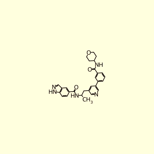 CC(Cc1cncc(-c2cccc(C(=O)NC3CCOCC3)c2)c1)NC(=O)c1ccc2[nH]ncc2c1